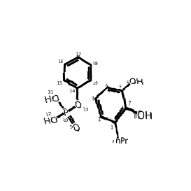 CCCc1cccc(O)c1O.O=P(O)(O)Oc1ccccc1